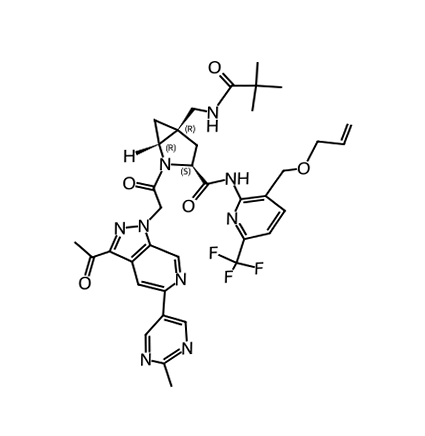 C=CCOCc1ccc(C(F)(F)F)nc1NC(=O)[C@@H]1C[C@@]2(CNC(=O)C(C)(C)C)C[C@H]2N1C(=O)Cn1nc(C(C)=O)c2cc(-c3cnc(C)nc3)ncc21